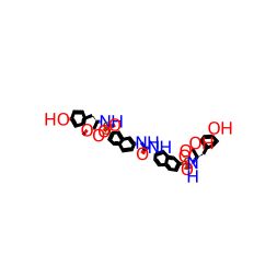 COC(=O)[C@H](Cc1ccc(O)cc1)NS(=O)(=O)c1ccc2ccc(NC(=O)Nc3ccc4ccc(S(=O)(=O)N[C@@H](Cc5ccc(O)cc5)C(=O)O)cc4c3)cc2c1